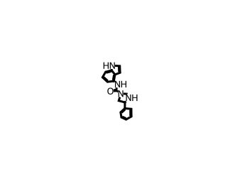 O=C(Nc1cccc2[nH]ccc12)N1CNC(c2ccccc2)C1